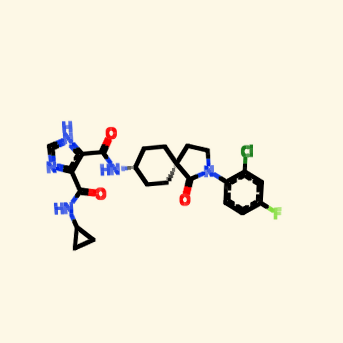 O=C(NC1CC1)c1nc[nH]c1C(=O)N[C@H]1CC[C@@]2(CCN(c3ccc(F)cc3Cl)C2=O)CC1